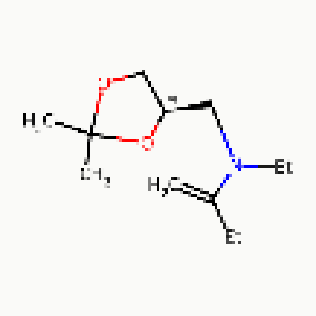 C=C(CC)N(CC)C[C@@H]1COC(C)(C)O1